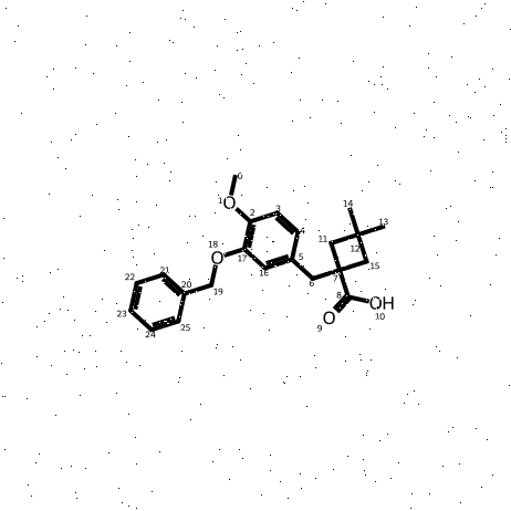 COc1ccc(CC2(C(=O)O)CC(C)(C)C2)cc1OCc1ccccc1